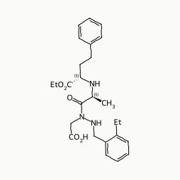 CCOC(=O)[C@H](CCc1ccccc1)N[C@@H](C)C(=O)N(CC(=O)O)NCc1ccccc1CC